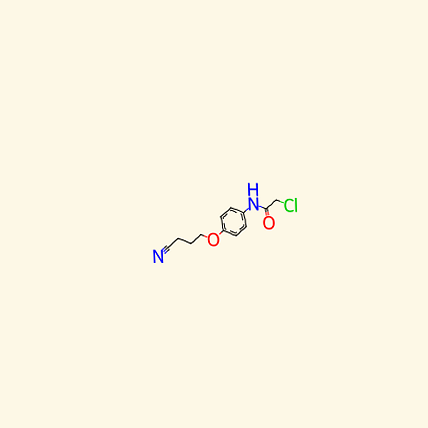 N#CCCCOc1ccc(NC(=O)CCl)cc1